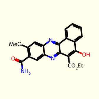 CCOC(=O)c1c(O)c2ccccc2c2nc3cc(OC)c(C(N)=O)cc3nc12